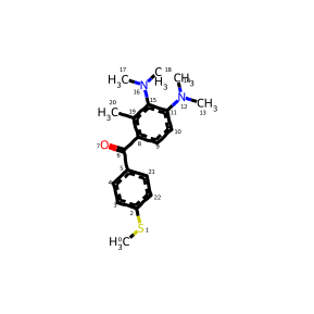 CSc1ccc(C(=O)c2ccc(N(C)C)c(N(C)C)c2C)cc1